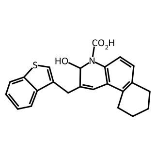 O=C(O)N1c2ccc3c(c2C=C(Cc2csc4ccccc24)C1O)CCCC3